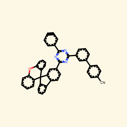 N#Cc1ccc(-c2cccc(-c3nc(-c4cc#ccc4)nc(-c4ccc5c(c4)C4(c6ccccc6Oc6ccccc64)c4ccccc4-5)n3)c2)cc1